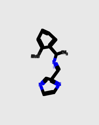 COc1ccccc1C(C)/N=C/c1cnccn1